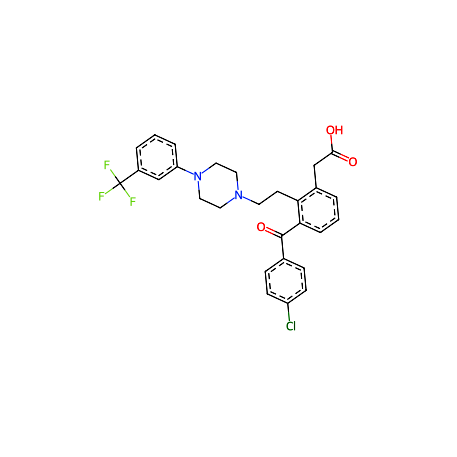 O=C(O)Cc1cccc(C(=O)c2ccc(Cl)cc2)c1CCN1CCN(c2cccc(C(F)(F)F)c2)CC1